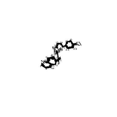 CC(F)(c1ccc2ncccc2c1)c1nnc2ccc(-c3ccc(Cl)cc3)nn12